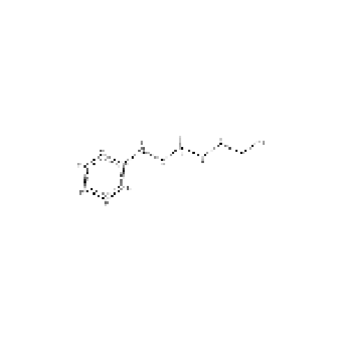 CCCCNCOc1ccccc1